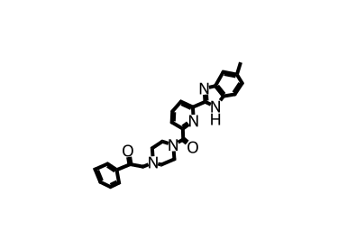 Cc1ccc2[nH]c(-c3cccc(C(=O)N4CCN(CC(=O)c5ccccc5)CC4)n3)nc2c1